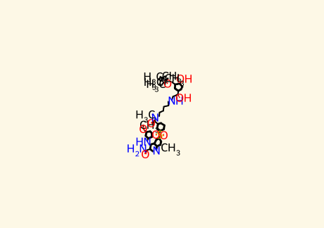 COc1cccc(Nc2c(C(N)=O)cnc3c(C)cc(S(=O)(=O)c4cccc(C(=O)N(C)CCCCCCNC[C@H](O)c5ccc(O)c(CO[Si](C)(C)C(C)(C)C)c5)c4)cc23)c1